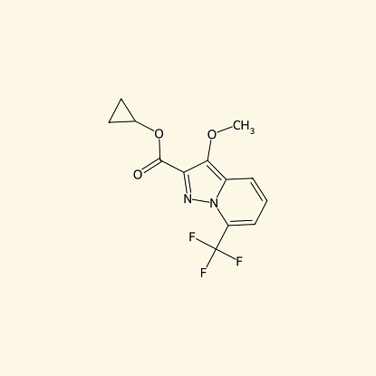 COc1c(C(=O)OC2CC2)nn2c(C(F)(F)F)cccc12